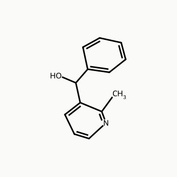 Cc1ncccc1C(O)c1ccccc1